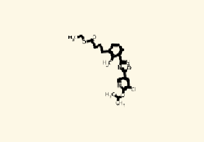 CCOC(=O)CCCc1cccc(-c2noc(-c3cnc(OC(C)C)c(Cl)c3)n2)c1C